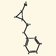 CCC1CC1OCc1ccccc1